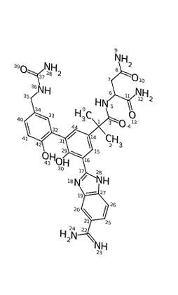 CC(C)(C(=O)NC(CC(N)=O)C(N)=O)c1cc(-c2nc3cc(C(=N)N)ccc3[nH]2)c(O)c(-c2cc(CNC(N)=O)ccc2O)c1